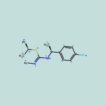 CC(=O)/N=C(/N[C@@H](C)c1ccc(F)cc1)S[C@@H](C)C(C)C